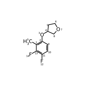 Cc1c(OC2CCOC2)ccc(F)c1F